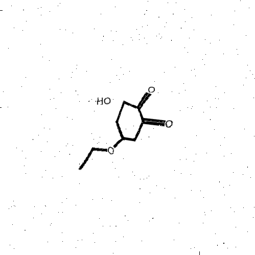 CCOC1CCC(=O)C(=O)C1.[OH]